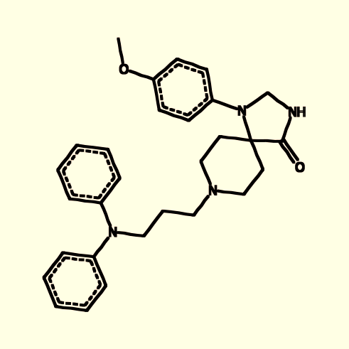 COc1ccc(N2CNC(=O)C23CCN(CCCN(c2ccccc2)c2ccccc2)CC3)cc1